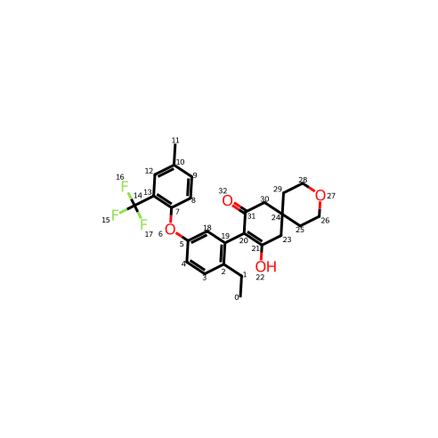 CCc1ccc(Oc2ccc(C)cc2C(F)(F)F)cc1C1=C(O)CC2(CCOCC2)CC1=O